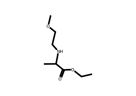 CCOC(=O)C(C)NCCOC